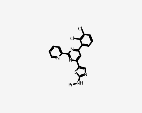 CC(C)Nc1ncc(-c2cc(-c3cccc(Cl)c3Cl)nc(-c3ccccn3)n2)s1